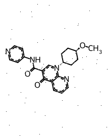 CO[C@H]1CC[C@H](n2cc(C(=O)Nc3ccncc3)c(=O)c3cccnc32)CC1